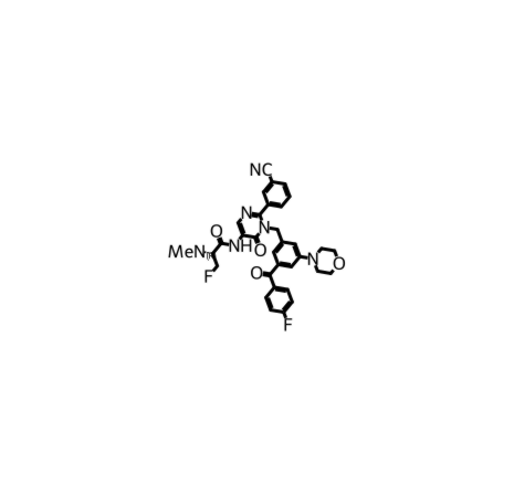 CN[C@@H](CF)C(=O)Nc1cnc(-c2cccc(C#N)c2)n(Cc2cc(C(=O)c3ccc(F)cc3)cc(N3CCOCC3)c2)c1=O